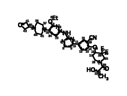 CCOc1nc(Nc2nccc(-c3ccc(OC4CCN(C(=O)[C@H](C)O)CC4(F)F)c(C#N)c3)n2)ccc1N1CCN(C2COC2)CC1